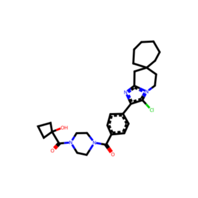 O=C(c1ccc(-c2nc3n(c2Cl)CCC2(CCCCCC2)C3)cc1)N1CCN(C(=O)C2(O)CCC2)CC1